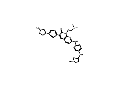 CC(=O)C1CCC(c2ccc(-c3cc4cnc(Nc5ccc(NC6CCN(C)C6)cc5)nc4n(CCN(C)C)c3=O)cc2)C1